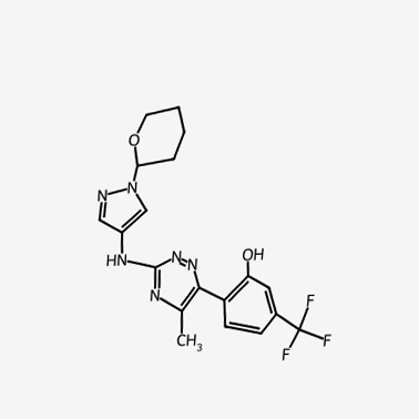 Cc1nc(Nc2cnn(C3CCCCO3)c2)nnc1-c1ccc(C(F)(F)F)cc1O